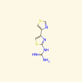 N=C(N)Nc1nc(-c2cscn2)cs1